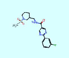 CS(=O)(=O)N1CCCC(CNC(=O)c2cnc(-c3cccc(F)c3)nc2)C1